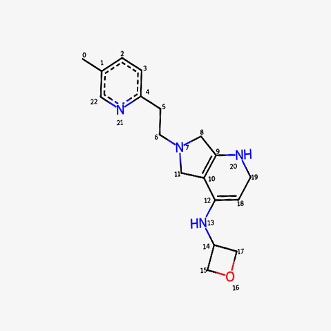 Cc1ccc(CCN2CC3=C(C2)C(NC2COC2)=CCN3)nc1